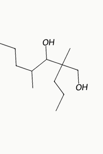 CCCC(C)C(O)C(C)(CO)CCC